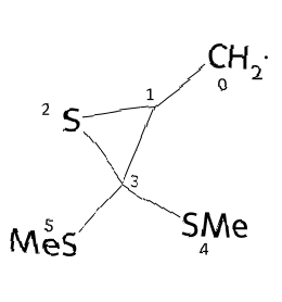 [CH2]C1SC1(SC)SC